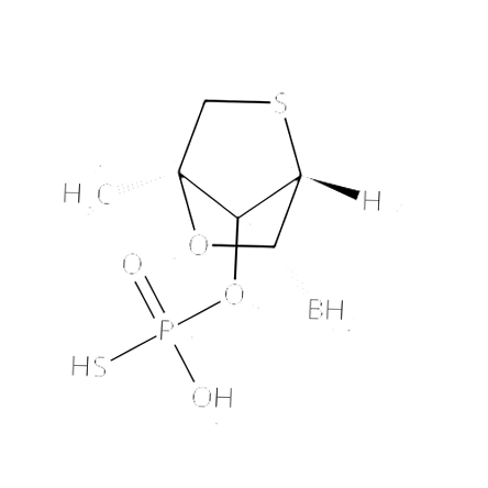 B[C@@H]1O[C@@]2(C)CS[C@H]1C2OP(=O)(O)S